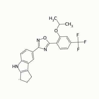 CC(C)Oc1cc(C(F)(F)F)ccc1-c1nc(-c2ccc3[nH]c4c(c3c2)CC[CH]4)no1